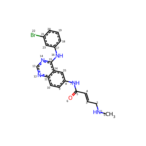 CNCC=CC(=O)Nc1ccc2ncnc(Nc3cccc(Br)c3)c2c1